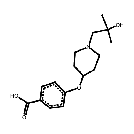 CC(C)(O)CN1CCC(Oc2ccc(C(=O)O)cc2)CC1